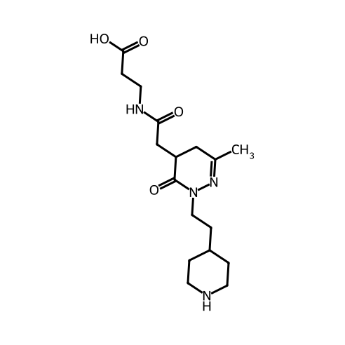 CC1=NN(CCC2CCNCC2)C(=O)C(CC(=O)NCCC(=O)O)C1